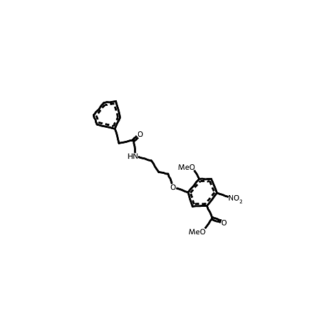 COC(=O)c1cc(OCCCNC(=O)Cc2ccccc2)c(OC)cc1[N+](=O)[O-]